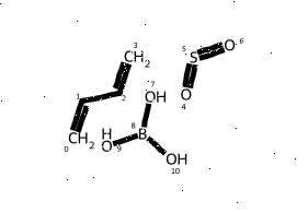 C=CC=C.O=S=O.OB(O)O